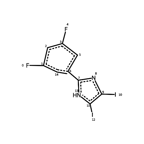 Fc1cc(F)cc(-c2nc(I)c(I)[nH]2)c1